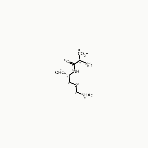 CC(=O)NCSC[C@H](C=O)NC(=O)[C@H](N)C(=O)O